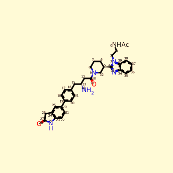 CC(=O)NCCn1c([C@@H]2CCCN(C(=O)C[C@H](N)Cc3ccc(-c4ccc5c(c4)CC(=O)N5)cc3)C2)nc2ccccc21